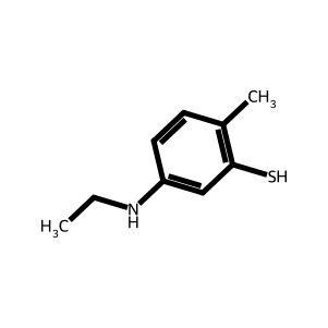 CCNc1ccc(C)c(S)c1